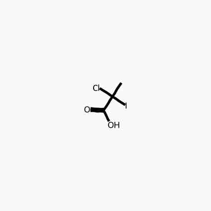 CC(Cl)(I)C(=O)O